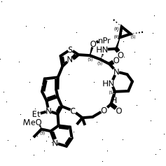 CCCO[C@@H]1c2nc(cs2)-c2ccc3c(c2)c(c(-c2cccnc2[C@H](C)OC)n3CC)CC(C)(C)COC(=O)[C@@H]2CCCN(N2)C(=O)[C@H]1NC(=O)[C@H]1[C@H](C)[C@@H]1C